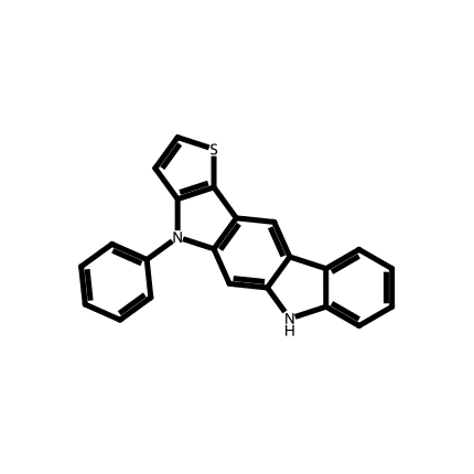 c1ccc(-n2c3cc4[nH]c5ccccc5c4cc3c3sccc32)cc1